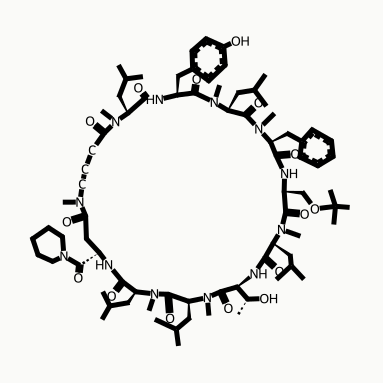 CC(C)C[C@H]1C(=O)N[C@@H](Cc2ccc(O)cc2)C(=O)N(C)[C@@H](CC(C)C)C(=O)N(C)[C@@H](Cc2ccccc2)C(=O)N[C@@H](COC(C)(C)C)C(=O)N(C)[C@@H](CC(C)C)C(=O)N[C@@H]([C@@H](C)O)C(=O)N(C)[C@@H](CC(C)C)C(=O)N(C)[C@@H](CC(C)C)C(=O)N[C@H](C(=O)N2CCCCC2)CC(=O)N(C)CCCC(=O)N1C